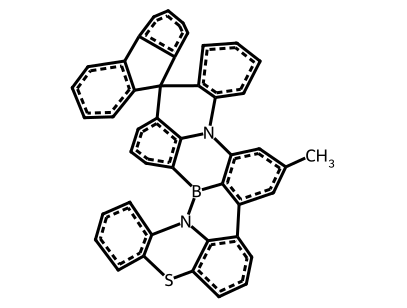 Cc1cc2c3c(c1)N1c4ccccc4C4(c5ccccc5-c5ccccc54)c4cccc(c41)B3N1c3ccccc3Sc3cccc-2c31